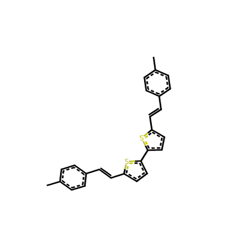 Cc1ccc(C=Cc2ccc(-c3ccc(C=Cc4ccc(C)cc4)s3)s2)cc1